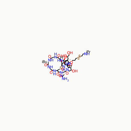 CC[C@H](C)[C@@H]1NC(=O)CNC(=O)[C@@H]2Cc3c([nH]c4cc(OCCCSSCCNC(C)C)ccc34)[S@+]([O-])CC(NC(=O)CNC1=O)C(=O)N[C@@H](CC(N)=O)C(=O)N1C[C@H](O)C[C@H]1C(=O)N[C@@H]([C@@H](C)[C@@H](O)CO)C(=O)N2